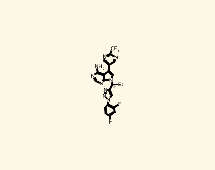 CC[C@@H](c1cn(-c2ccc(F)cc2F)nn1)n1cc(-c2cnc(C(F)(F)F)nc2)c2c(N)ncnc21